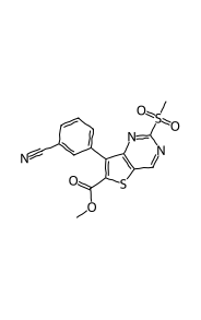 COC(=O)c1sc2cnc(S(C)(=O)=O)nc2c1-c1cccc(C#N)c1